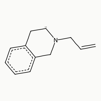 C=CCN1[C]Cc2ccccc2C1